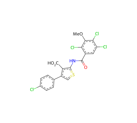 COc1c(Cl)c(Cl)cc(C(=O)Nc2scc(-c3ccc(Cl)cc3)c2C(=O)O)c1Cl